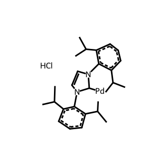 CC(C)c1cccc(C(C)C)c1N1C=CN(c2c(C(C)C)cccc2C(C)C)[CH]1[Pd].Cl